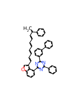 C=C(/C=C/C=C/C=C/C=C/c1coc2cccc(-c3nc(-c4ccccc4)nc(-c4cccc(-c5ccccc5)c4)n3)c12)c1ccccc1